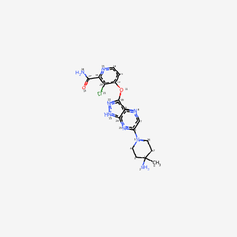 CC1(N)CCN(c2cnc3c(Oc4ccnc(C(N)=O)c4Cl)n[nH]c3n2)CC1